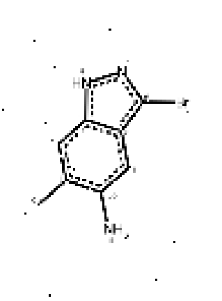 Cc1cc2[nH]nc(Br)c2cc1N